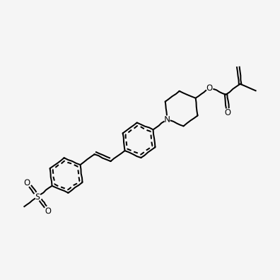 C=C(C)C(=O)OC1CCN(c2ccc(/C=C/c3ccc(S(C)(=O)=O)cc3)cc2)CC1